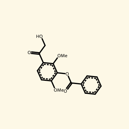 COc1ccc(C(=O)CO)c(OC)c1OC(=O)c1ccccc1